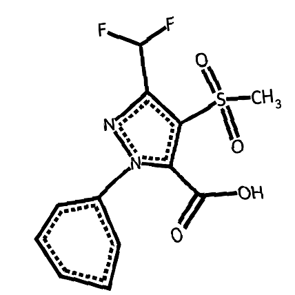 CS(=O)(=O)c1c(C(F)F)nn(-c2ccccc2)c1C(=O)O